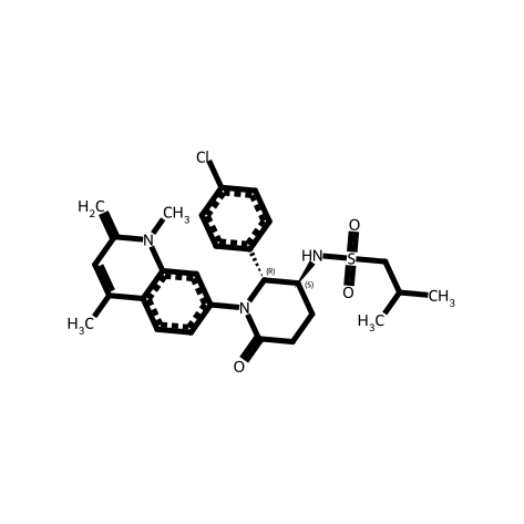 C=C1C=C(C)c2ccc(N3C(=O)CC[C@H](NS(=O)(=O)CC(C)C)[C@H]3c3ccc(Cl)cc3)cc2N1C